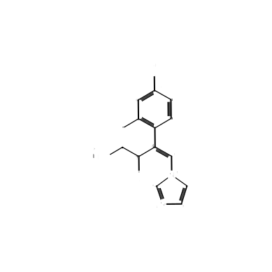 CCC(C)C(=Cn1ccnc1)c1ccc(Cl)cc1Cl.Cl